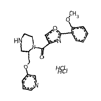 COc1ccccc1-c1nc(C(=O)N2CCNCC2COc2cccnc2)co1.Cl.Cl